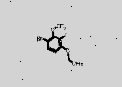 COCOc1ccc(Br)c(OC(F)(F)F)c1F